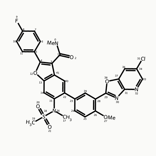 CNC(=O)c1c(-c2ccc(F)cc2)oc2cc(N(C)S(C)(=O)=O)c(-c3ccc(OC)c(-c4nc5ncc(Cl)cc5o4)c3)cc12